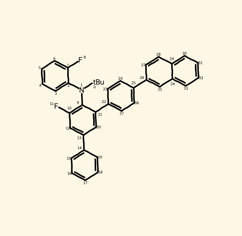 CC(C)(C)N(c1ccccc1F)c1c(F)cc(-c2ccccc2)cc1-c1ccc(-c2ccc3ccccc3c2)cc1